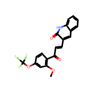 COc1cc(OC(F)(F)F)ccc1C(=O)/C=C/c1cc2ccccc2[nH]c1=O